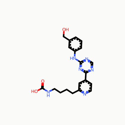 O=C(O)NCCCCc1cc(-c2ncnc(Nc3cccc(CO)c3)n2)ccn1